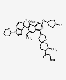 C=Cc1cc2c(N3CCC4(CCC(C(=O)OC(C)(C)C)C(C)C4)CC3)nc(OC3CCN(CC)CC3)nc2c(OC)c1-c1c(Cl)ccc2c1cnn2C1CCCCO1